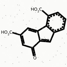 O=C(O)C1=CC(=O)C2=Cc3cccc(C(=O)O)c3C2=C1